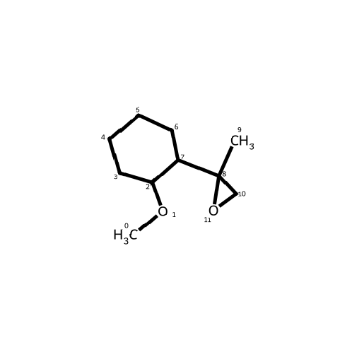 COC1CCCCC1C1(C)CO1